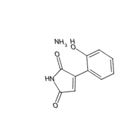 N.O=C1C=C(c2ccccc2O)C(=O)N1